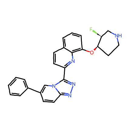 F[C@H]1CNCC[C@H]1Oc1cccc2ccc(-c3nnc4ccc(-c5ccccc5)cn34)nc12